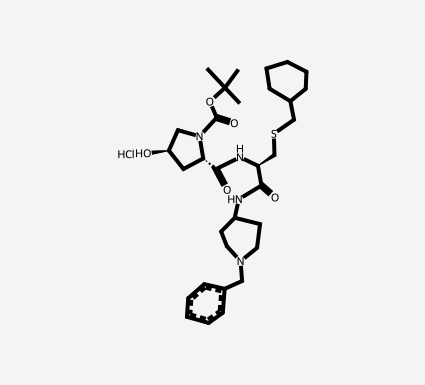 CC(C)(C)OC(=O)N1C[C@H](O)C[C@H]1C(=O)N[C@@H](CSCC1CCCCC1)C(=O)NC1CCN(Cc2ccccc2)CC1.Cl